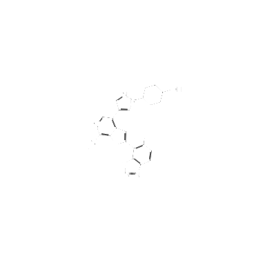 Nc1ncc(-c2cnn(C3CCC(O)CC3)c2)c2cc(-c3c(F)ccc4nnsc34)oc12